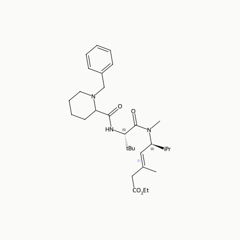 CCOC(=O)C/C(C)=C/[C@H](C(C)C)N(C)C(=O)[C@@H](NC(=O)C1CCCCN1Cc1ccccc1)C(C)(C)C